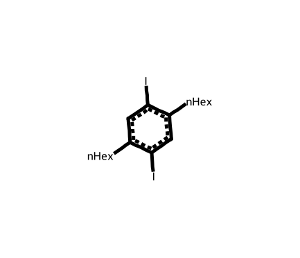 CCCCCCc1cc(I)c(CCCCCC)cc1I